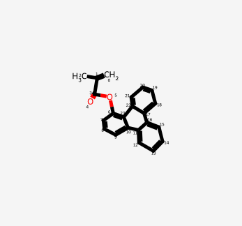 C=C(C)C(=O)Oc1cccc2c3ccccc3c3ccccc3c12